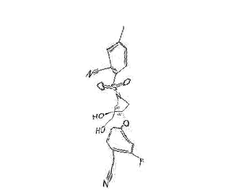 Cc1ccc(S(=O)(=O)N2C[C@H](Oc3ccc(C#N)c(F)c3)[C@](O)(CO)C2)c(C#N)c1